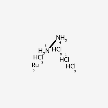 Cl.Cl.Cl.Cl.NN.[Ru]